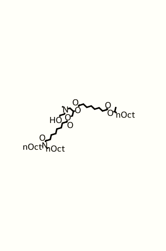 CCCCCCCCC(C)OC(=O)CCCCCCC(=O)OC(COC(=O)CCCCCCC(=O)N(CCCCCCCC)CCCCCCCC)CN(C)CCO